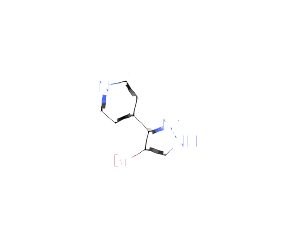 Brc1c[nH]nc1-c1ccncc1